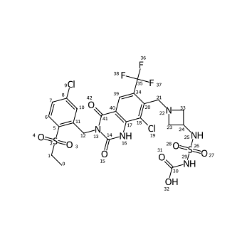 CCS(=O)(=O)c1ccc(Cl)cc1Cn1c(=O)[nH]c2c(Cl)c(CN3CC(NS(=O)(=O)NC(=O)O)C3)c(C(F)(F)F)cc2c1=O